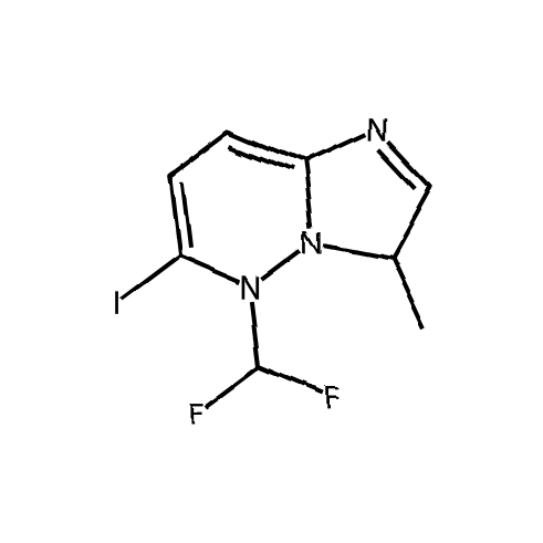 CC1C=NC2=CC=C(I)N(C(F)F)N21